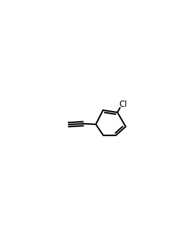 C#CC1C=C(Cl)C=CC1